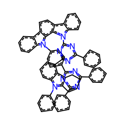 C1=Cc2c(c3c(-c4nc(-c5ccccc5)nc(-n5c6ccccc6c6ccc7c8ccccc8n(-c8ccc(-c9nc(-c%10ccccc%10)nc(-c%10ccccc%10)n9)cc8)c7c65)n4)cccc3n2-c2ccccc2)CC1